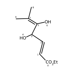 CCOC(=O)C=CC(O)C(O)=C(C)C